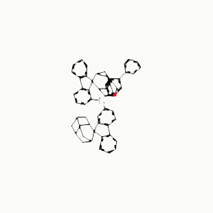 c1ccc(-c2ccc(N(c3ccc4c(c3)C3(c5ccccc5-4)C4CC5CC(C4)CC3C5)c3cccc4c3C3(c5ccccc5-4)C4CC5CC(C4)CC3C5)cc2)cc1